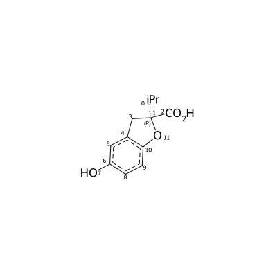 CC(C)[C@@]1(C(=O)O)Cc2cc(O)ccc2O1